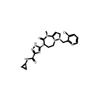 CN1C(=O)[C@H](c2nc(C(=O)NC3CC3)n[nH]2)CCN2C1=CCN2Cc1ncccc1Cl